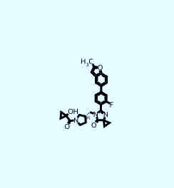 Cc1cc2cc(-c3ccc(C4=NC5(CC5)C(=O)N4C[C@@H]4CCN(C(=O)C5(O)CC5)C4)c(F)c3)ccc2o1